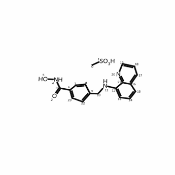 CS(=O)(=O)O.O=C(NO)c1ccc(CNc2cccc3cccnc23)cc1